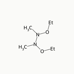 CCON(C)N(C)OCC